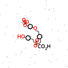 CS(=O)(=O)Oc1ccc(OCCc2ccc(CC(C(=O)O)S(=O)(=O)CCc3ccc(O)cc3)cc2)cc1